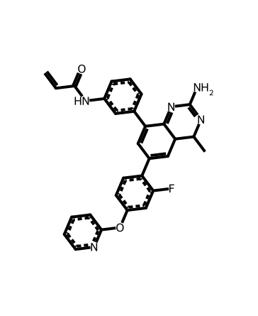 C=CC(=O)Nc1cccc(C2=CC(c3ccc(Oc4ccccn4)cc3F)=CC3C2=NC(N)=NC3C)c1